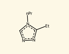 CCCn1cnnc1CC